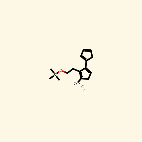 C[Si](C)(C)OCCC1=[C]([Zr+2])CC=C1C1=CC=CC1.[Cl-].[Cl-]